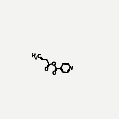 C=CCC(=O)OC(=O)c1ccncc1